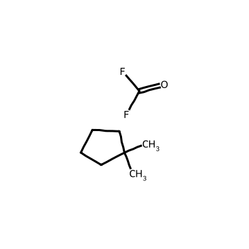 CC1(C)CCCC1.O=C(F)F